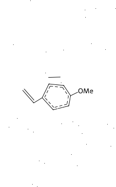 C=Cc1ccc(OC)cc1.CC